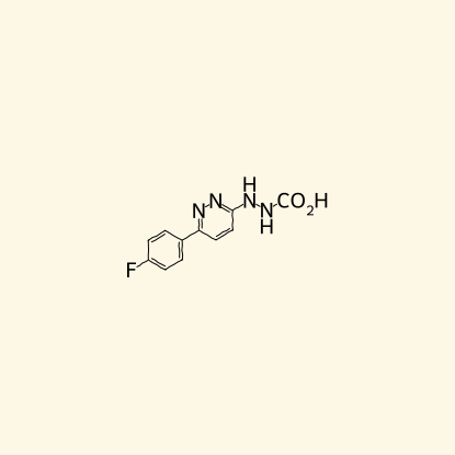 O=C(O)NNc1ccc(-c2ccc(F)cc2)nn1